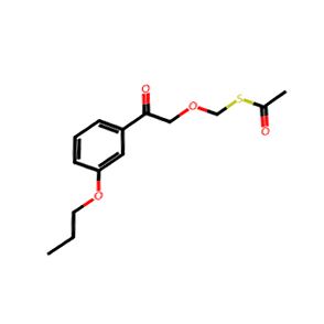 CCCOc1cccc(C(=O)COCSC(C)=O)c1